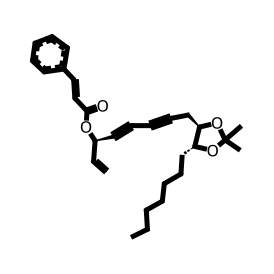 C=C[C@H](C#CC#CC[C@H]1OC(C)(C)O[C@@H]1CCCCCCC)OC(=O)/C=C/c1ccccc1